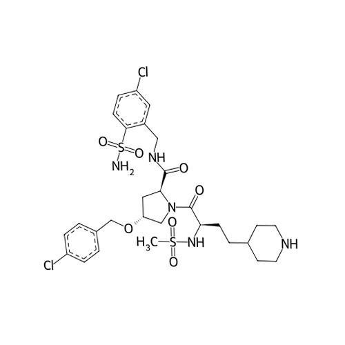 CS(=O)(=O)N[C@H](CCC1CCNCC1)C(=O)N1C[C@H](OCc2ccc(Cl)cc2)C[C@H]1C(=O)NCc1cc(Cl)ccc1S(N)(=O)=O